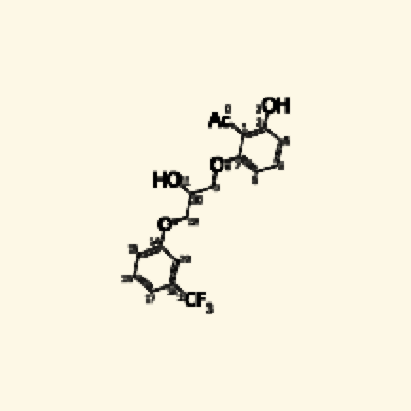 CC(=O)c1c(O)cccc1OCC(O)COc1cccc(C(F)(F)F)c1